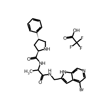 CC(NC(=O)[C@H]1C[C@H](c2ccccc2)CN1)C(=O)NCc1cc2c(Br)cncc2[nH]1.O=C(O)C(F)(F)F